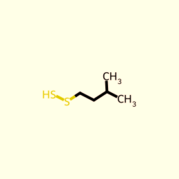 CC(C)CCSS